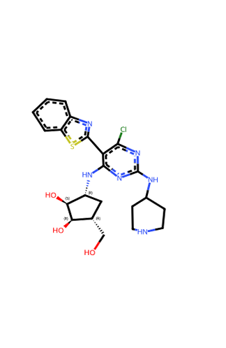 OC[C@H]1C[C@@H](Nc2nc(NC3CCNCC3)nc(Cl)c2-c2nc3ccccc3s2)[C@H](O)[C@@H]1O